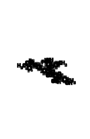 CC(C)c1ccccc1[C@H]1CCCN1C1CC2(CCN(c3ccc(C(=O)NS(=O)(=O)c4cc5c(c([N+](=O)[O-])c4)N[C@@H](C4CCC(C)(O)CC4)CO5)c(Oc4cc5c(F)c[nH]c5nc4OC4CCN(C)CC4)c3)CC2)C1